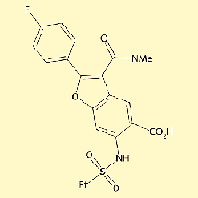 CCS(=O)(=O)Nc1cc2oc(-c3ccc(F)cc3)c(C(=O)NC)c2cc1C(=O)O